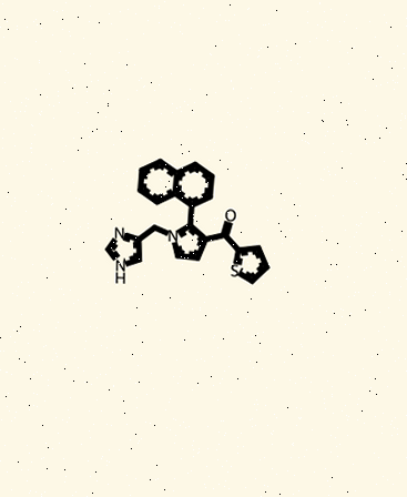 O=C(c1cccs1)c1ccn(Cc2c[nH]cn2)c1-c1cccc2ccccc12